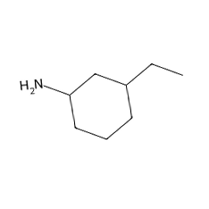 CCC1CCCC(N)C1